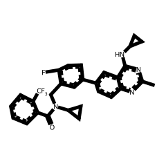 Cc1nc(NC2CC2)c2cc(-c3ccc(F)c(CN(C(=O)c4ccccc4C(F)(F)F)C4CC4)c3)ccc2n1